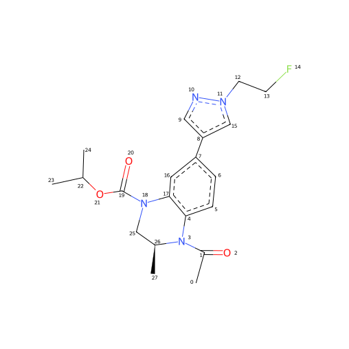 CC(=O)N1c2ccc(-c3cnn(CCF)c3)cc2N(C(=O)OC(C)C)C[C@@H]1C